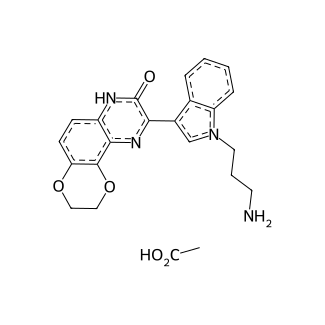 CC(=O)O.NCCCn1cc(-c2nc3c4c(ccc3[nH]c2=O)OCCO4)c2ccccc21